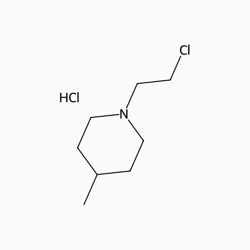 CC1CCN(CCCl)CC1.Cl